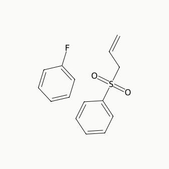 C=CCS(=O)(=O)c1ccccc1.Fc1ccccc1